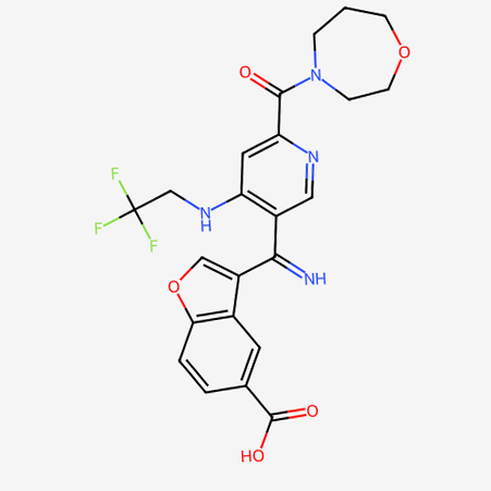 N=C(c1cnc(C(=O)N2CCCOCC2)cc1NCC(F)(F)F)c1coc2ccc(C(=O)O)cc12